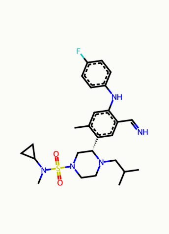 Cc1cc(Nc2ccc(F)cc2)c(C=N)cc1[C@H]1CN(S(=O)(=O)N(C)C2CC2)CCN1CC(C)C